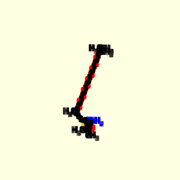 CCCN(CCC)C(=O)C1=Cc2sc(CCCCCN(C)CCOCCOCCOCCOCCOCCOCCOCCOCCOCCOCCCOC(C)(C)C)cc2N=C(N)C1